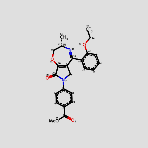 COC(=O)c1ccc(N2CC3=C(OC[C@H](C)N=C3c3ccccc3OCC(F)(F)F)C2=O)cc1